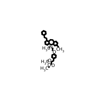 CCOC(=O)C(Cc1ccc(OCCN(C)C2c3cc(CC)ccc3CCc3c(CCc4ccccc4)cccc32)cc1)OC